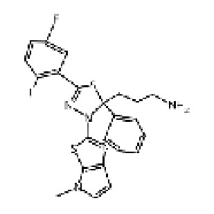 Cn1ccc2nc(N3N=C(c4cc(F)ccc4F)SC3(CCCN)c3ccccc3)sc21